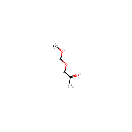 COCOCC(C)=O